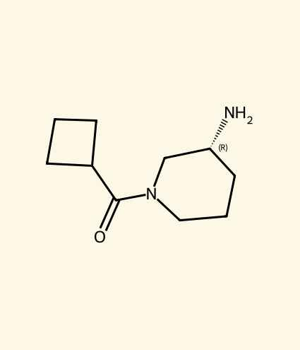 N[C@@H]1CCCN(C(=O)C2CCC2)C1